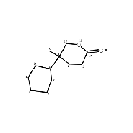 CC1(C2CCCCC2)CCC(=O)OC1